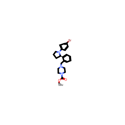 CC(C)(C)OC(=O)N1CCN(Cc2ccccc2[C@H]2CCCN2c2ccc(Br)cc2)CC1